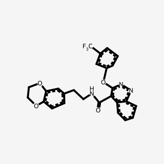 O=C(NCCc1ccc2c(c1)OCCO2)c1c(Oc2cccc(C(F)(F)F)c2)nnc2ccccc12